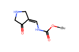 CC(C)(C)OC(=O)NC=C1CNCC1=O